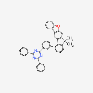 CC1(C)c2cc3oc4ccccc4c3cc2-c2c(-c3cccc(-c4nc(-c5ccccc5)nc(-c5ccccc5)n4)c3)cccc21